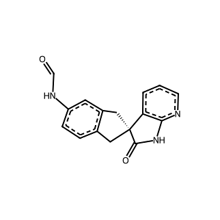 O=CNc1ccc2c(c1)C[C@@]1(C2)C(=O)Nc2ncccc21